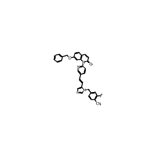 N#Cc1ccc(Cn2cncc2/C=C/c2ccc(-n3c(=O)ccc4ccc(OCc5ccccc5)cc43)nc2)cc1F